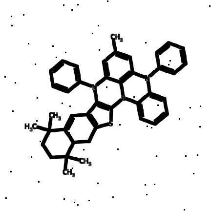 Cc1cc2c3c(c1)N(c1ccccc1)c1c(sc4c1C=C1C(C4)C(C)(C)CCC1(C)C)B3c1ccccc1N2c1ccccc1